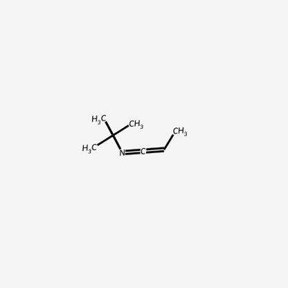 CC=C=NC(C)(C)C